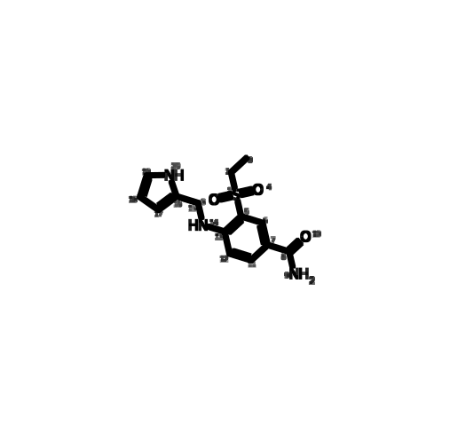 CCS(=O)(=O)c1cc(C(N)=O)ccc1NCc1ccc[nH]1